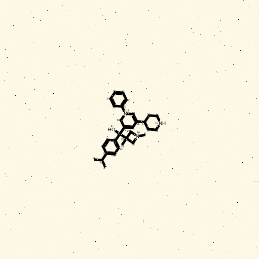 CC(C)c1ccc(C(O)(C2=CC(C3CCNCC3)=CN(c3ccccc3)C2)C2(C)CN(C)C2)cc1